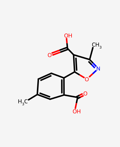 Cc1ccc(-c2onc(C)c2C(=O)O)c(C(=O)O)c1